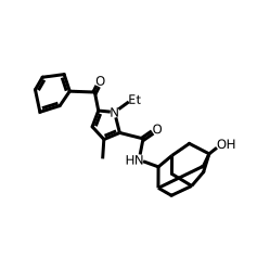 CCn1c(C(=O)c2ccccc2)cc(C)c1C(=O)NC1C2CC3CC1CC(O)(C3)C2